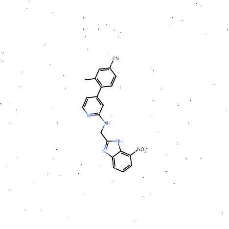 Cc1cc(C#N)ccc1-c1ccnc(NCc2nc3cccc([N+](=O)[O-])c3[nH]2)c1